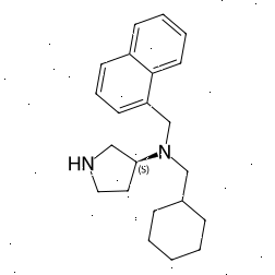 c1ccc2c(CN(CC3CCCCC3)[C@H]3CCNC3)cccc2c1